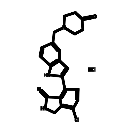 Cl.O=C1CCN(Cc2ccc3[nH]c(-c4ccc(Cl)c5c4C(=O)NC5)cc3c2)CC1